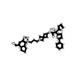 O=CC1=Cc2nnn(CCCN3CC4(CC(OC(=O)[C@](O)(c5cccs5)c5ccc(-c6ccccc6)s5)C4)C3)c2C2CCCC12